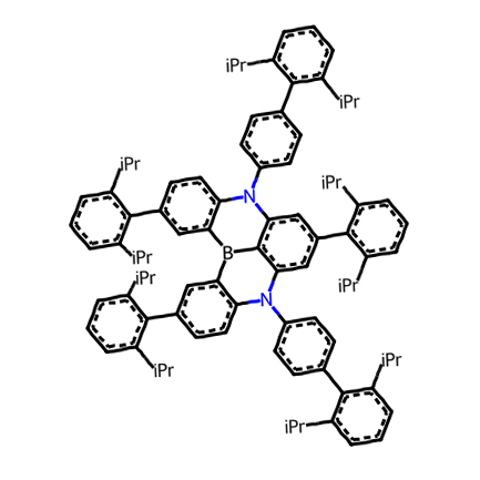 CC(C)c1cccc(C(C)C)c1-c1ccc(N2c3ccc(-c4c(C(C)C)cccc4C(C)C)cc3B3c4cc(-c5c(C(C)C)cccc5C(C)C)ccc4N(c4ccc(-c5c(C(C)C)cccc5C(C)C)cc4)c4cc(-c5c(C(C)C)cccc5C(C)C)cc2c43)cc1